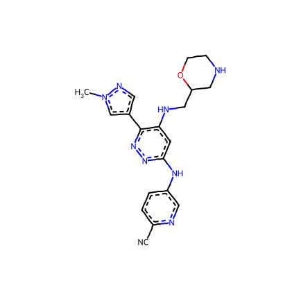 Cn1cc(-c2nnc(Nc3ccc(C#N)nc3)cc2NCC2CNCCO2)cn1